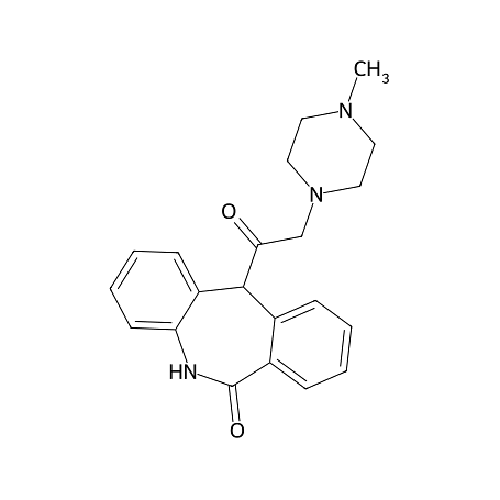 CN1CCN(CC(=O)C2c3ccccc3NC(=O)c3ccccc32)CC1